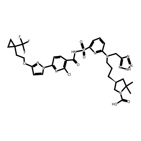 CC1(C)C[C@H](CCCN(Cc2nn[nH]n2)c2cccc(S(=O)(=O)NC(=O)c3ccc(-n4ccc(OCCC5(C(F)(F)F)CC5)n4)nc3Cl)n2)CN1C(=O)O